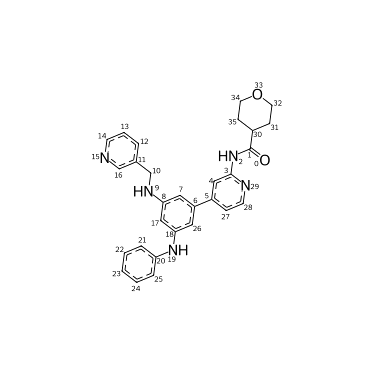 O=C(Nc1cc(-c2cc(NCc3cccnc3)cc(Nc3ccccc3)c2)ccn1)C1CCOCC1